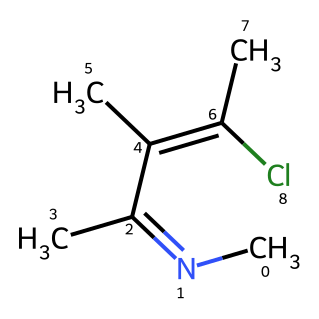 C/N=C(C)\C(C)=C(\C)Cl